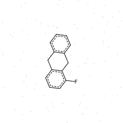 Fc1cccc2c1Cc1ccccc1C2